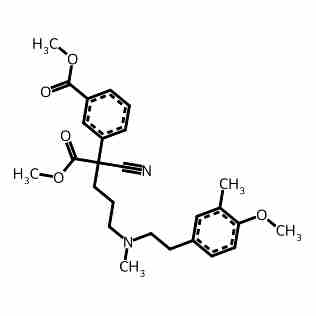 COC(=O)c1cccc(C(C#N)(CCCN(C)CCc2ccc(OC)c(C)c2)C(=O)OC)c1